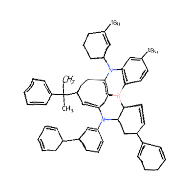 CC(C)(C)C1=CC(N2C3=C4B(c5ccc(C(C)(C)C)cc52)C2C=CC(C5=CCCC=C5)CC2N(C2=CC(C5C=CC=CC5)CC=C2)C4=CC(C(C)(C)c2ccccc2)C3)CCC1